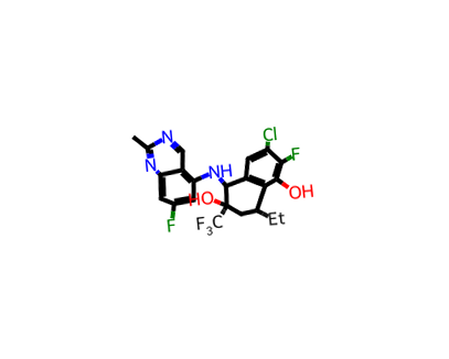 CCC1CC(O)(C(F)(F)F)C(Nc2cc(F)cc3nc(C)ncc23)c2cc(Cl)c(F)c(O)c21